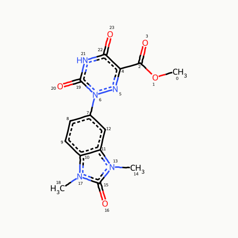 COC(=O)c1nn(-c2ccc3c(c2)n(C)c(=O)n3C)c(=O)[nH]c1=O